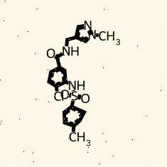 Cc1ccc(S(=O)(=O)Nc2cc(C(=O)NCc3cnn(C)c3)ccc2Cl)cc1